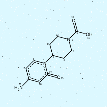 Nc1ccn(C2CCN(C(=O)O)CC2)c(=O)c1